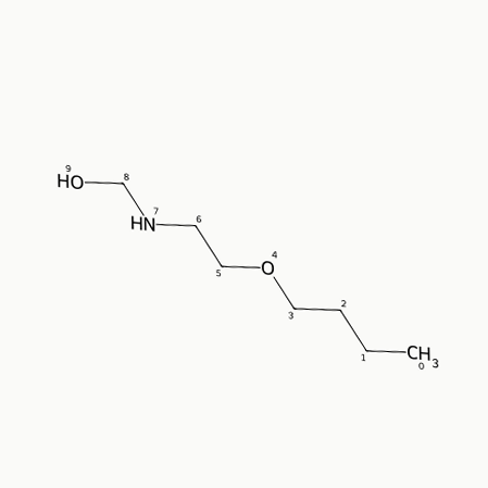 CCCCOCCNCO